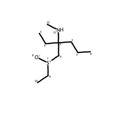 CCCC(CC)(C[S+]([O-])CC)NC